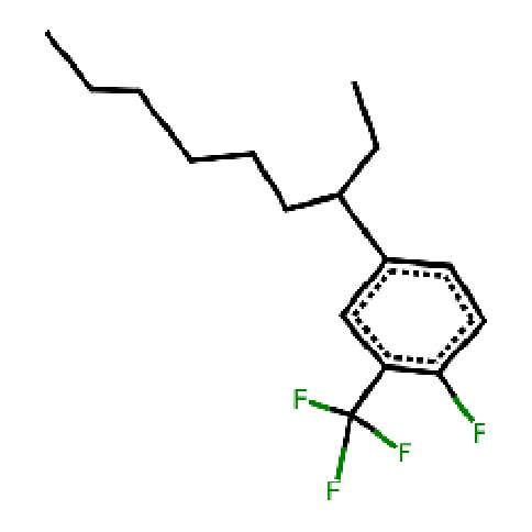 CCCCCCC(CC)c1ccc(F)c(C(F)(F)F)c1